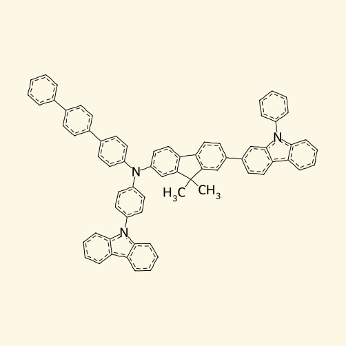 CC1(C)c2cc(-c3ccc4c5ccccc5n(-c5ccccc5)c4c3)ccc2-c2ccc(N(c3ccc(-c4ccc(-c5ccccc5)cc4)cc3)c3ccc(-n4c5ccccc5c5ccccc54)cc3)cc21